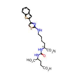 O=C(O)CCC(NC(=O)N[C@@H](CCCCNc1nc(-c2cc3ccccc3s2)cs1)C(=O)O)C(=O)O